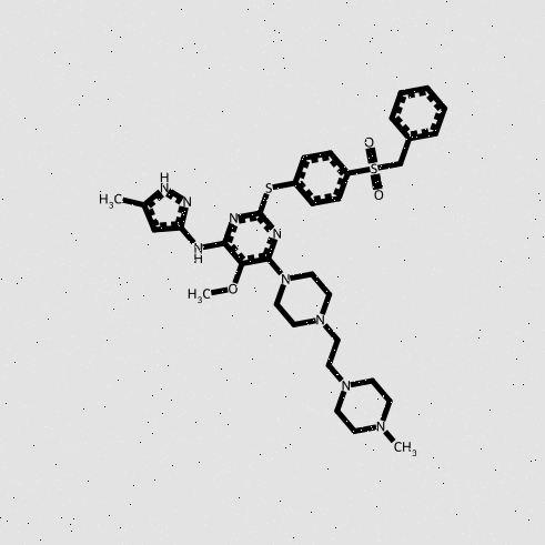 COc1c(Nc2cc(C)[nH]n2)nc(Sc2ccc(S(=O)(=O)Cc3ccccc3)cc2)nc1N1CCN(CCN2CCN(C)CC2)CC1